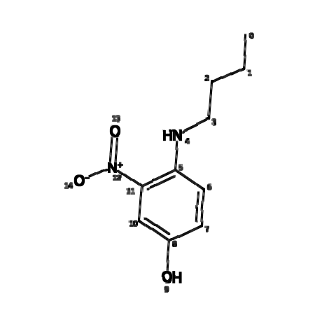 CCCCNc1ccc(O)cc1[N+](=O)[O-]